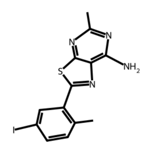 Cc1nc(N)c2nc(-c3cc(I)ccc3C)sc2n1